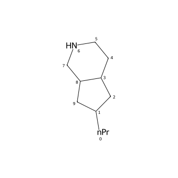 CCCC1CC2CCNCC2C1